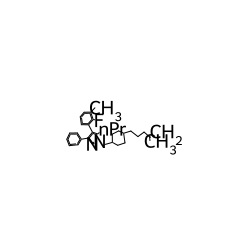 C=C(C)CCCC1CCC(Cn2nc(-c3ccccc3)c(-c3cccc(C)c3F)c2CCC)CC1